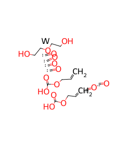 C=CCOC(=O)O.C=CCOC(=O)O.OCCOCCO.[C]=O.[C]=O.[C]=O.[C]=O.[C]=O.[C]=O.[W]